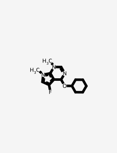 CN1C=NC(OC2CCCCC2)c2c(F)cn(C)c21